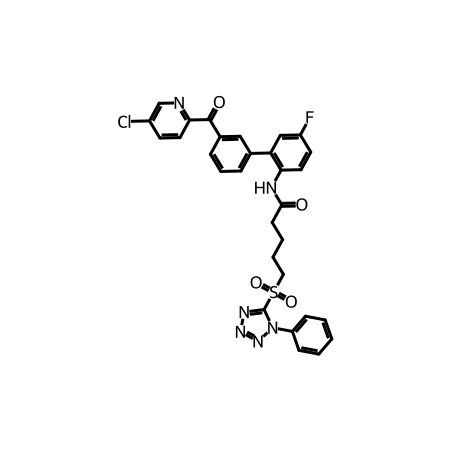 O=C(CCCCS(=O)(=O)c1nnnn1-c1ccccc1)Nc1ccc(F)cc1-c1cccc(C(=O)c2ccc(Cl)cn2)c1